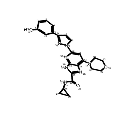 Cc1cccc(-c2ccn(-c3cc(N4CCOCC4)c4nc(C(=O)NC5CC5)[nH]c4n3)n2)c1